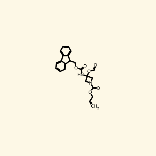 C=CCOC(=O)N1CC(NC(=O)OCC2c3ccccc3-c3ccccc32)(OC=O)C1